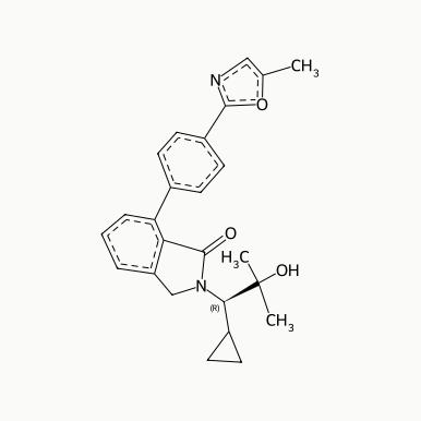 Cc1cnc(-c2ccc(-c3cccc4c3C(=O)N([C@H](C3CC3)C(C)(C)O)C4)cc2)o1